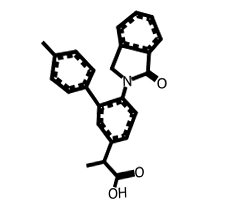 Cc1ccc(-c2cc(C(C)C(=O)O)ccc2N2Cc3ccccc3C2=O)cc1